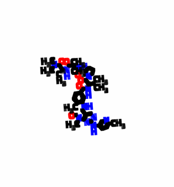 Cc1ccc(Nc2ncc(CNc3cc(C(=O)N[C@H](C(=O)N4CCC[C@H]4C(=O)NC(C)(C)C(=O)N[C@@H](C)C(=O)N(C)C)C(C)C)ccc3C)c(N(C)C=O)n2)cn1